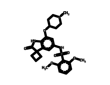 COc1cccc(OC)c1S(=O)(=O)Nc1cc(OC2CCN(C)CC2)c2c(c1)C1(CCC1)C(=O)N2